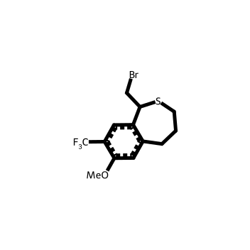 COc1cc2c(cc1C(F)(F)F)C(CBr)SCCC2